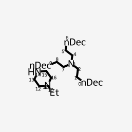 CCCCCCCCCCCCN(CCCCCCCCCCCC)CCCCCCCCCCCC.CCN1CCNCC1